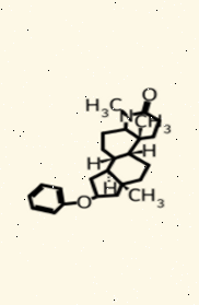 CN1C(=O)CC[C@@]2(C)C1CC[C@@H]1[C@H]2CC[C@]2(C)CC(Oc3ccccc3)C[C@@H]12